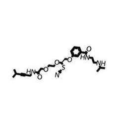 CC(C)C#CCNC(=O)COCCO[C@@H](COc1cccc(C(=O)NCCNC(C)C)c1)SC#N